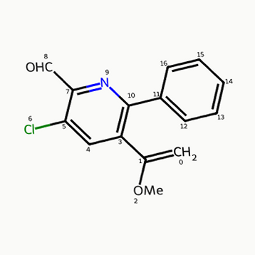 C=C(OC)c1cc(Cl)c(C=O)nc1-c1ccccc1